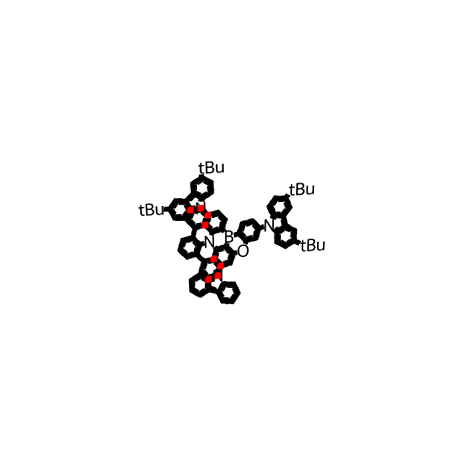 CC(C)(C)c1ccc2c(c1)c1cc(C(C)(C)C)ccc1n2-c1ccc2c(c1)Oc1cc(-n3c4ccccc4c4ccccc43)cc3c1B2c1ccc(-n2c4ccc(C(C)(C)C)cc4c4cc(C(C)(C)C)ccc42)cc1N3c1c(-c2ccccc2)cccc1-c1ccccc1